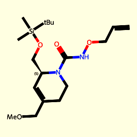 C=CCONC(=O)N1CCC(COC)=C[C@H]1CO[Si](C)(C)C(C)(C)C